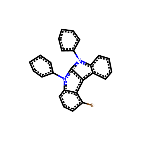 Brc1cccc2c1c1c3ccccc3n(-c3ccccc3)c1n2-c1ccccc1